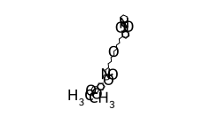 CC1(C)OCc2cc([C@@H]3CN(CCCCCCOCCCCc4cccc(S(=O)(=O)N5CCCCC5)c4)C(=O)O3)ccc2O1